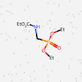 CCOC(=O)NCP(=O)(OCC)OCC